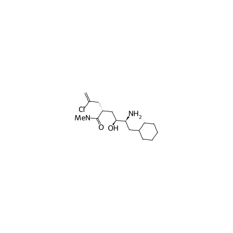 C=C(Cl)C[C@H](C[C@H](O)[C@@H](N)CC1CCCCC1)C(=O)NC